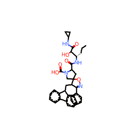 CCC[C@H](NC(=O)C1CC2(CN1C(=O)O)ON=C(c1ccccc1)C2CC1c2ccccc2-c2ccccc21)C(O)C(=O)NC1CC1